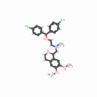 COc1cc2c(cc1OC)C(CN(C)CCOC(c1ccc(F)cc1)c1ccc(F)cc1)OCC2